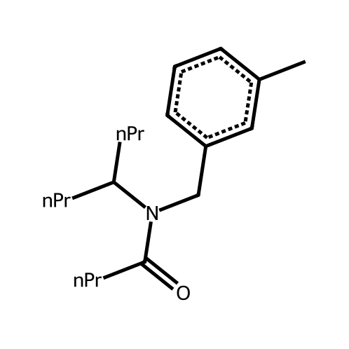 CCCC(=O)N(Cc1cccc(C)c1)C(CCC)CCC